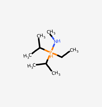 CC[PH](NC)(C(C)C)C(C)C